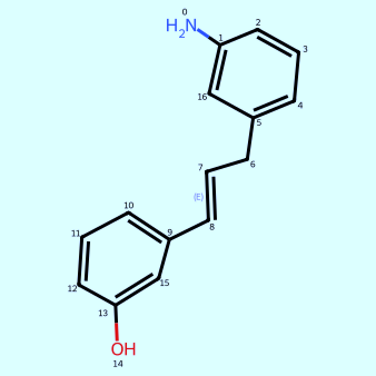 Nc1cccc(C/C=C/c2cccc(O)c2)c1